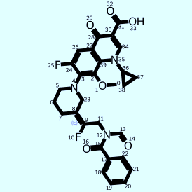 COc1c(N2CCC/C(=C(\F)CN(C=O)C(=O)c3ccccc3)C2)c(F)cc2c(=O)c(C(=O)O)cn(C3CC3)c12